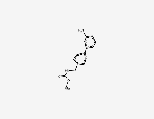 CC(C)(C)OC(=O)NCc1ccc(-c2cccc(N)c2)nc1